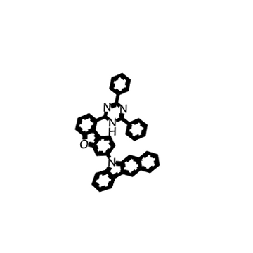 c1ccc(C2=NC(c3cccc4oc5cc(-n6c7ccccc7c7cc8ccccc8cc76)ccc5c34)NC(c3ccccc3)=N2)cc1